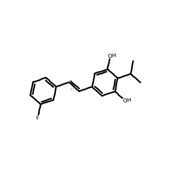 CC(C)c1c(O)cc(/C=C/c2cccc(F)c2)cc1O